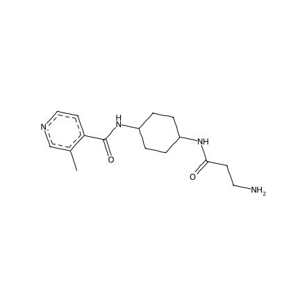 Cc1cnccc1C(=O)NC1CCC(NC(=O)CCN)CC1